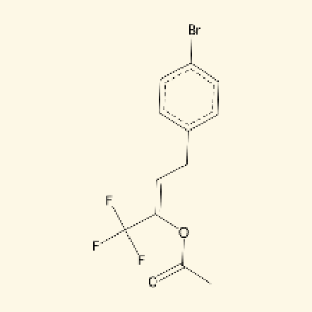 CC(=O)OC(=CCc1ccc(Br)cc1)C(F)(F)F